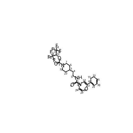 O=C(NCCC1CCN(C(=O)OC(C(F)(F)F)C(F)(F)F)CC1)N1C=COC(C2=CC=CCC2)=C1